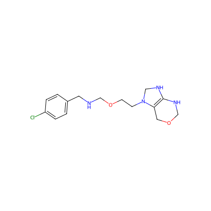 Clc1ccc(CNCOCCN2CNC3=C2COCN3)cc1